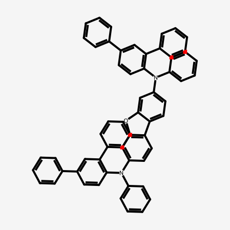 c1ccc(-c2ccc(N(c3ccccc3)c3ccc4c(c3)oc3cc(N(c5ccccc5)c5ccc(-c6ccccc6)cc5-c5ccccc5)ccc34)c(-c3ccccc3)c2)cc1